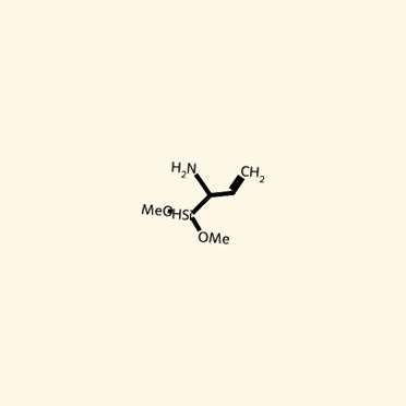 C=CC(N)[SiH](OC)OC